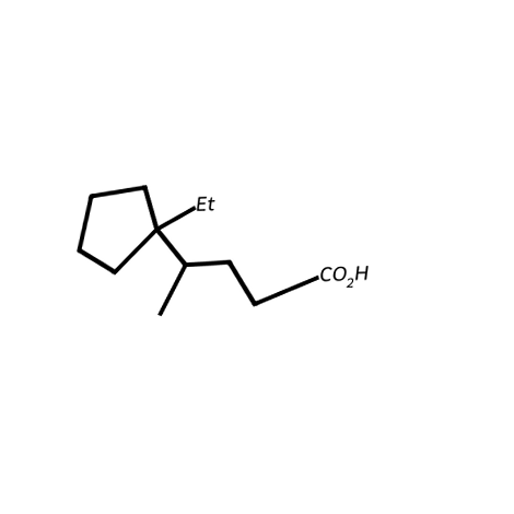 CCC1(C(C)CCC(=O)O)CCCC1